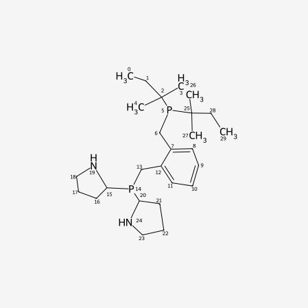 CCC(C)(C)P(Cc1ccccc1CP(C1CCCN1)C1CCCN1)C(C)(C)CC